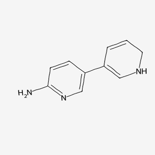 Nc1ccc(C2=CNCC=C2)cn1